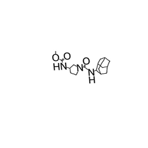 COC(=O)NC1CCN(C(=O)NC2C3CC4CC(C3)CC2C4)C1